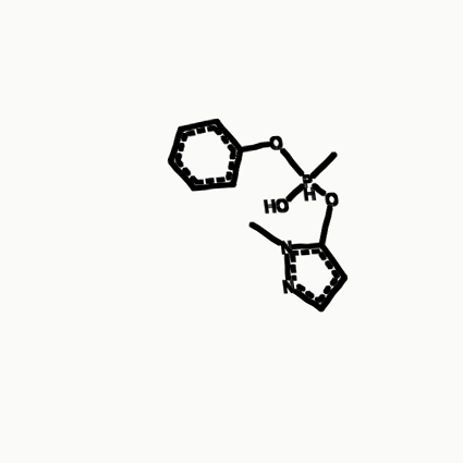 Cn1nccc1O[PH](C)(O)Oc1ccccc1